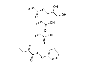 C=C(CC)C(=O)OOc1ccccc1.C=CC(=O)O.C=CC(=O)O.C=CC(=O)OCC(O)CO